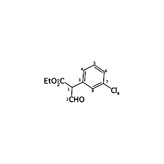 CCOC(=O)C(C=O)c1cccc(Cl)c1